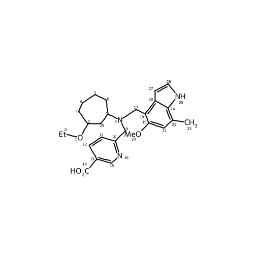 CCOC1CCCCC(N(Cc2ccc(C(=O)O)cn2)Cc2c(OC)cc(C)c3[nH]ccc23)C1